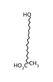 CC(CCCCCCCCCCCCCCCCCCO)C(=O)O